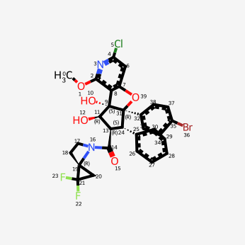 COc1nc(Cl)cc2c1[C@]1(O)[C@H](O)[C@H](C(=O)N3CC[C@]34CC4(F)F)[C@@H](c3ccccc3)[C@]1(c1ccc(Br)cc1)O2